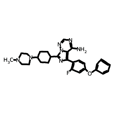 CN1CCN(C2CCC(c3nc(-c4ccc(Oc5ccccc5)cc4F)c4c(N)ncnn34)CC2)CC1